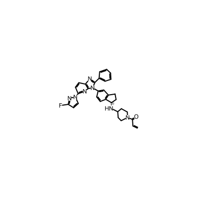 C=CC(=O)N1CCC(N[C@H]2CCc3cc(-n4c(-c5ccccc5)nc5ccc(-n6ccc(F)n6)nc54)ccc32)CC1